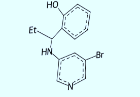 CCC(Nc1cncc(Br)c1)c1ccccc1O